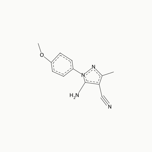 COc1ccc(-n2nc(C)c(C#N)c2N)cc1